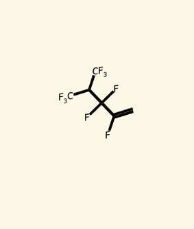 C=C(F)C(F)(F)C(C(F)(F)F)C(F)(F)F